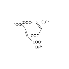 O=C([O-])/C=C/C(=O)[O-].O=C([O-])/C=C\C(=O)[O-].[Cu+2].[Cu+2]